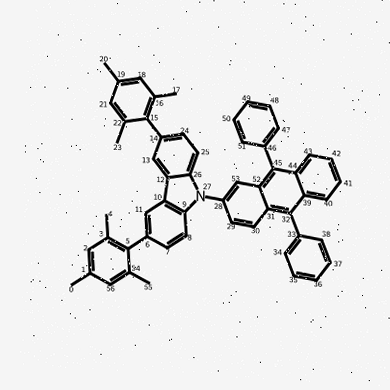 Cc1cc(C)c(-c2ccc3c(c2)c2cc(-c4c(C)cc(C)cc4C)ccc2n3-c2ccc3c(-c4ccccc4)c4ccccc4c(-c4ccccc4)c3c2)c(C)c1